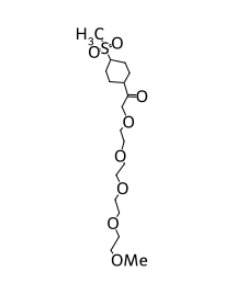 COCCOCCOCCOCCOCC(=O)C1CCC(S(C)(=O)=O)CC1